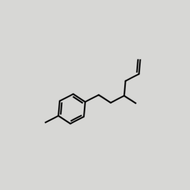 C=CCC(C)CCc1ccc(C)cc1